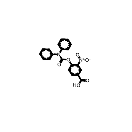 O=C(O)c1ccc(OC(=O)N(c2ccccc2)c2ccccc2)c([N+](=O)[O-])c1